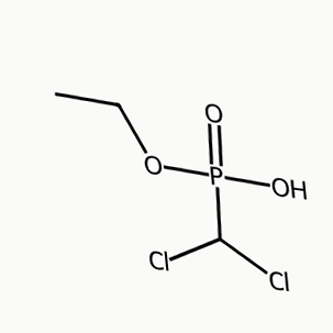 CCOP(=O)(O)C(Cl)Cl